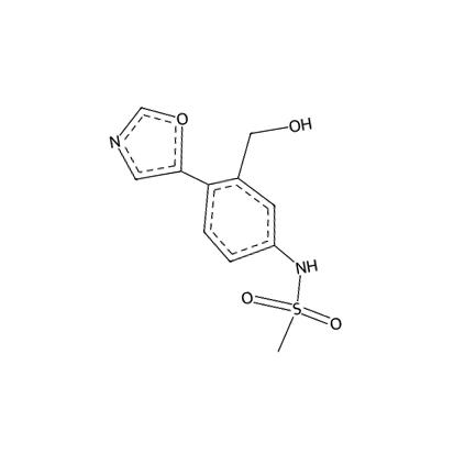 CS(=O)(=O)Nc1ccc(-c2cnco2)c(CO)c1